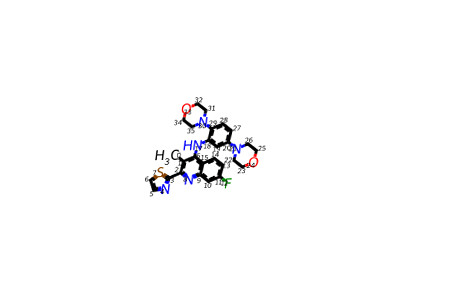 Cc1c(-c2nccs2)nc2cc(F)ccc2c1Nc1cc(N2CCOCC2)ccc1N1CCOCC1